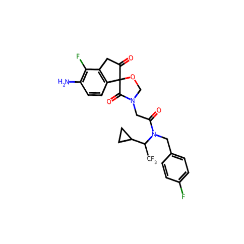 Nc1ccc2c(c1F)CC(=O)C21OCN(CC(=O)N(Cc2ccc(F)cc2)C(C2CC2)C(F)(F)F)C1=O